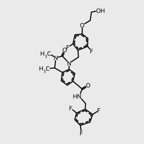 CC1c2ccc(C(=O)NCc3c(F)cc(F)cc3F)cc2N(Cc2c(F)cc(OCCO)cc2F)C(=O)N1C